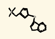 C[Si](C)(C)CC1=C[CH]([Zr][C]2=CCc3ccccc32)C=C1